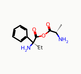 CC[C@@](N)(C(=O)OC(=O)[C@H](C)N)c1ccccc1